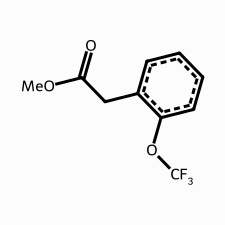 COC(=O)Cc1ccccc1OC(F)(F)F